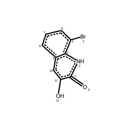 O=c1[nH]c2c(Br)cccc2cc1O